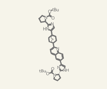 CC(C)(C)OC(=O)N1CCCC1c1ncc(C23CCC(c4ccc5cc(-c6c[nH]c([C@@H]7CCCN7C(=O)OC(C)(C)C)n6)ccc5n4)(CC2)CC3)[nH]1